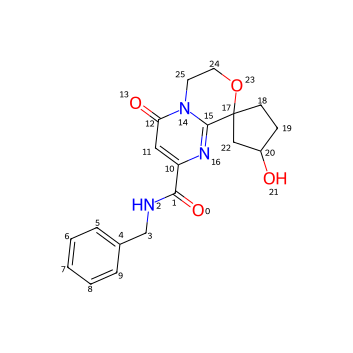 O=C(NCc1ccccc1)c1cc(=O)n2c(n1)C1(CCC(O)C1)OCC2